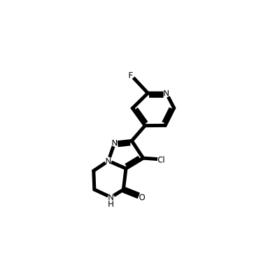 O=C1NCCn2nc(-c3ccnc(F)c3)c(Cl)c21